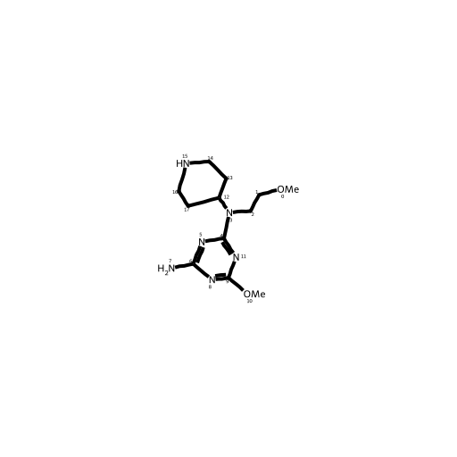 COCCN(c1nc(N)nc(OC)n1)C1CCNCC1